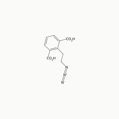 [N-]=[N+]=NCCc1c(C(=O)O)cccc1C(=O)O